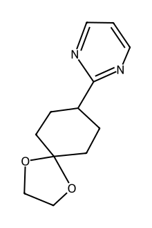 c1cnc(C2CCC3(CC2)OCCO3)nc1